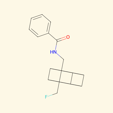 O=C(NCC12C3C4C5C3C1(CF)C5C42)c1ccccc1